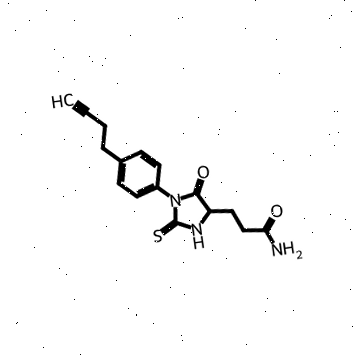 C#CCCc1ccc(N2C(=O)C(CCC(N)=O)NC2=S)cc1